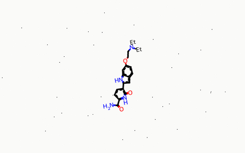 CCN(CC)CCOc1ccc2cc(-c3c[c]c(C(N)=O)[nH]c3=O)[nH]c2c1